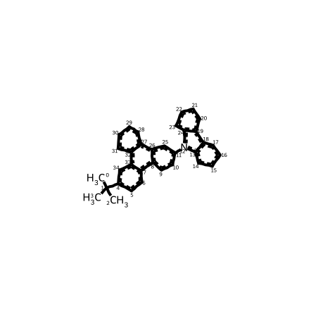 CC(C)(C)c1ccc2c3ccc(-n4c5ccccc5c5ccccc54)cc3c3ccccc3c2c1